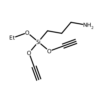 C#CO[Si](CCCN)(OC#C)OCC